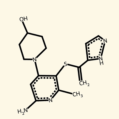 C=C(Sc1c(N2CCC(O)CC2)cc(N)nc1C)c1ccn[nH]1